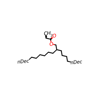 C=CC(=O)OCC(CCCCCCCCCCCCCC)CCCCCCCCCCCCCCCC